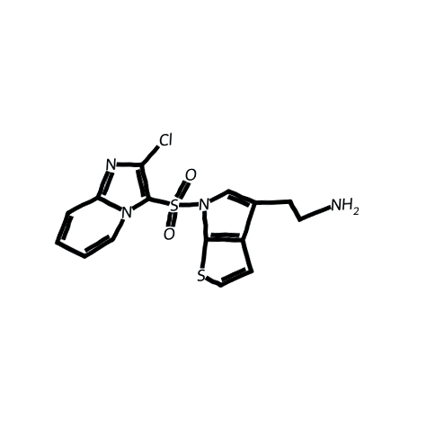 NCCc1cn(S(=O)(=O)c2c(Cl)nc3ccccn23)c2sccc12